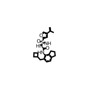 C=C(C)c1coc(S(=N)(=O)NC(=O)Nc2c(CC3CCC3)ccc3c2CCC3)c1